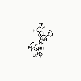 CCn1nccc1C(=O)N[C@H](c1cn2nc(C[C@H]3C[C@@H](C(F)(F)F)CNC3=O)c(C3CCCOC3)nc2n1)[C@H]1CCCC(F)(F)C1